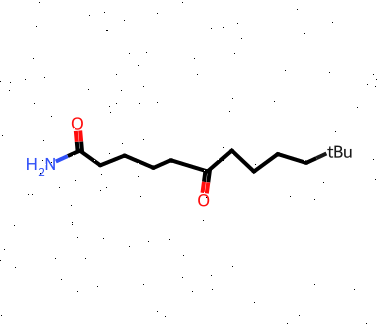 CC(C)(C)CCCCC(=O)CCCCC(N)=O